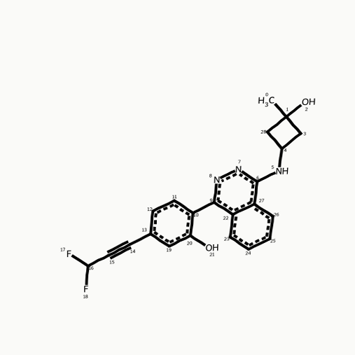 CC1(O)CC(Nc2nnc(-c3ccc(C#CC(F)F)cc3O)c3ccccc23)C1